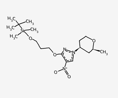 C[C@H]1C[C@@H](n2cc([N+](=O)[O-])c(OCCCO[Si](C)(C)C(C)(C)C)n2)CCO1